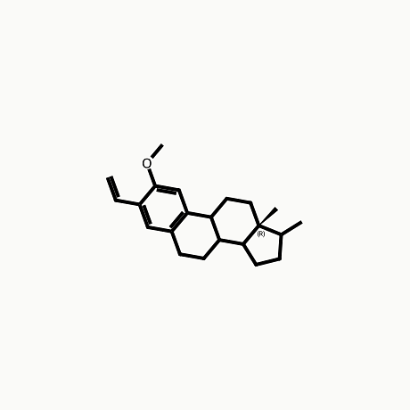 C=Cc1cc2c(cc1OC)C1CC[C@]3(C)C(C)CCC3C1CC2